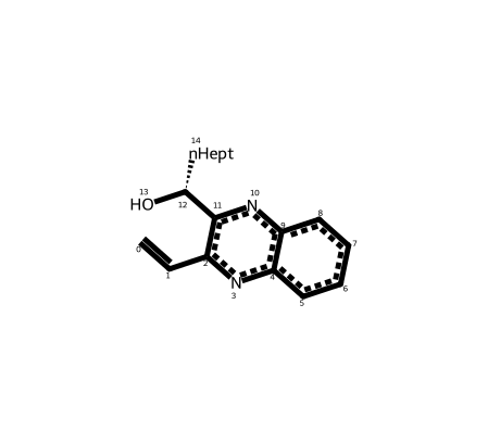 C=Cc1nc2ccccc2nc1[C@H](O)CCCCCCC